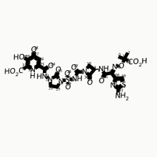 CC(C)(ON=C(C(=O)N[C@H]1CN(C(=O)NS(=O)(=O)N2CCN(NC(=O)c3cc(=O)c(O)c(C(=O)O)[nH]3)C2=O)C1=O)c1csc(N)n1)C(=O)O